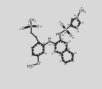 COc1ccc(CCS(C)(=O)=O)c(Nc2nc3ccccc3nc2NS(=O)(=O)c2cn(C)cn2)c1